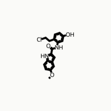 COc1ccc2[nH]c(C(=O)Nc3cc(O)ccc3CCCl)cc2c1